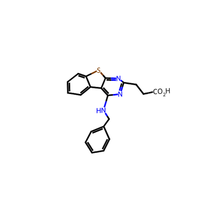 O=C(O)CCc1nc(NCc2ccccc2)c2c(n1)sc1ccccc12